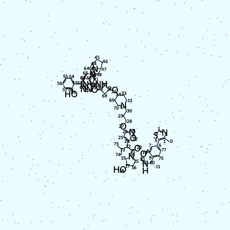 Cc1ncsc1-c1ccc([C@H](C)NC(=O)[C@@H]2C[C@@H](O)CN2C(=O)C(c2cc(OCCCN3CCC(O[C@H]4C[C@H](Oc5cc(N6C7CCC6CN(c6cc(-c8ccccc8O)nnc6N)C7)ccn5)C4)CC3)no2)C(C)C)cc1